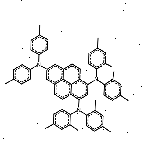 Cc1ccc(N(c2ccc(C)cc2)c2cc3ccc4c(N(c5ccc(C)cc5C)c5ccc(C)cc5C)cc(N(c5ccc(C)cc5C)c5ccc(C)cc5C)c5ccc(c2)c3c45)cc1